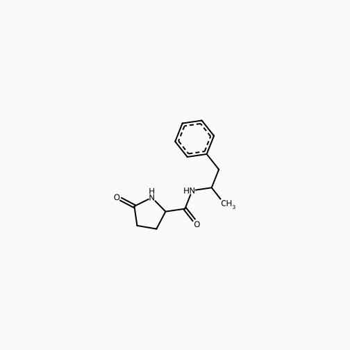 CC(Cc1ccccc1)NC(=O)C1CCC(=O)N1